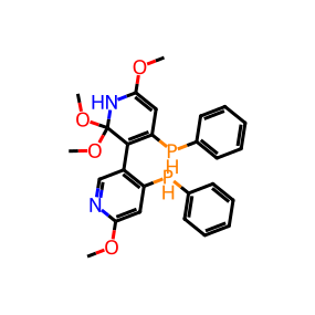 COC1=CC(Pc2ccccc2)=C(c2cnc(OC)cc2Pc2ccccc2)C(OC)(OC)N1